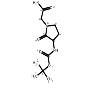 CC(C)(C)OC(=O)NC1CCN(CC(N)=O)C1=O